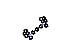 c1ccc(N(c2ccc(-c3ccc(-c4ccc(N(c5ccccc5)c5cc6cccc7ccc8cccc5c8c76)cc4)cc3)cc2)c2cc3cccc4ccc5cccc2c5c43)cc1